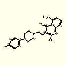 Cc1nc2cccc(C)n2c(=O)c1CCN1CCN(c2ccc(Cl)cc2)CC1